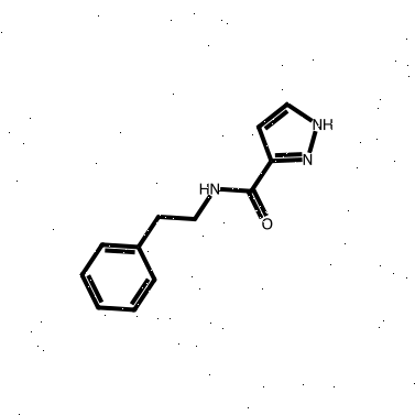 O=C(NCCc1ccccc1)c1cc[nH]n1